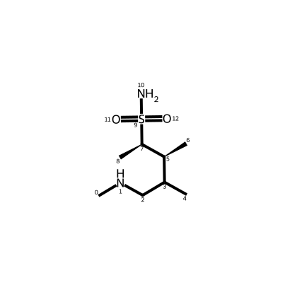 CNCC(C)[C@H](C)[C@@H](C)S(N)(=O)=O